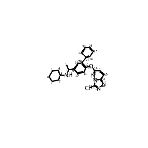 CC(NC1CCCCC1)c1ccc(Oc2ccc3nnc(Cl)n3n2)c(-c2ccccc2)c1